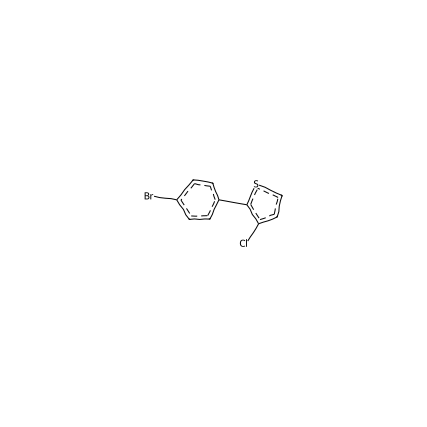 Clc1ccsc1-c1ccc(Br)cc1